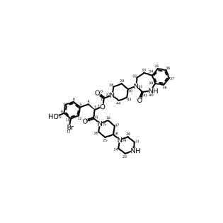 O=C(O[C@H](Cc1ccc(O)c(Br)c1)C(=O)N1CCC(N2CCNCC2)CC1)N1CCC(N2CCc3ccccc3NC2=O)CC1